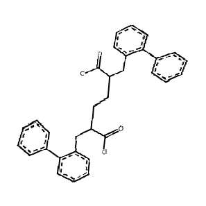 O=C(Cl)C(CCC(Cc1ccccc1-c1ccccc1)C(=O)Cl)Cc1ccccc1-c1ccccc1